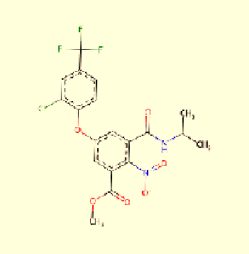 COC(=O)c1cc(Oc2ccc(C(F)(F)F)cc2Cl)cc(C(=O)NC(C)C)c1[N+](=O)[O-]